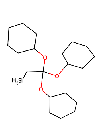 [SiH3]CC(OC1CCCCC1)(OC1CCCCC1)OC1CCCCC1